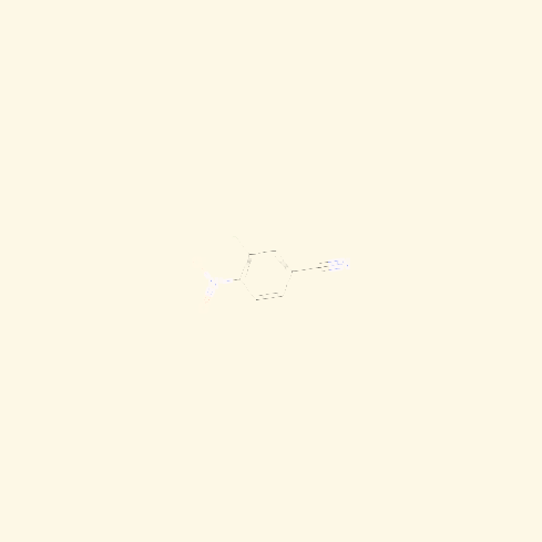 N#Cc1ccc([N+](=O)[O-])c(Cl)c1